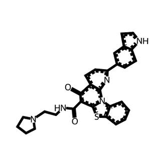 O=C(NCCN1CCCC1)c1c(=O)c2ccc(-c3ccc4[nH]ccc4c3)nc2n2c1sc1ccccc12